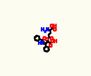 NC(CCC(=O)O[C@@H](C(=O)O)[C@@H](NC(=O)c1ccccc1)c1ccccc1)C(=O)O